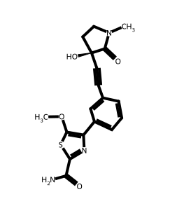 COc1sc(C(N)=O)nc1-c1cccc(C#C[C@]2(O)CCN(C)C2=O)c1